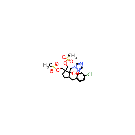 CS(=O)(=O)OCC1(COS(C)(=O)=O)CCC(Cc2ccc(Cl)cc2)C1(O)Cn1cncn1